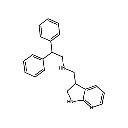 c1ccc(C(CNCC2CNc3ncccc32)c2ccccc2)cc1